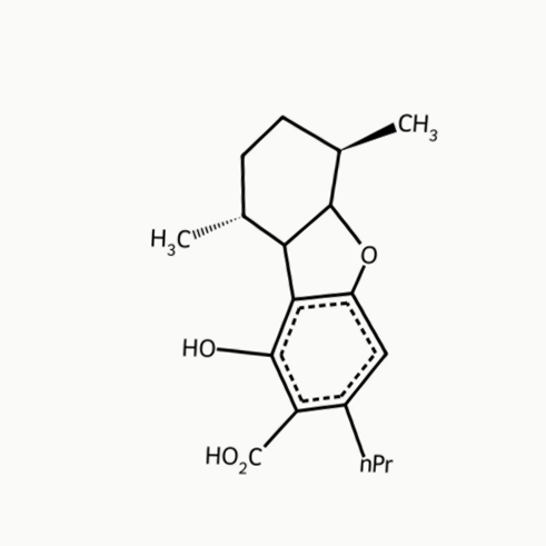 CCCc1cc2c(c(O)c1C(=O)O)C1C(O2)[C@H](C)CC[C@H]1C